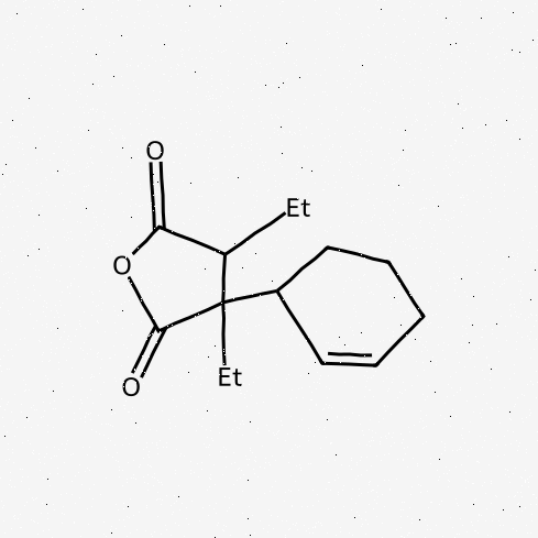 CCC1C(=O)OC(=O)C1(CC)C1C=CCCC1